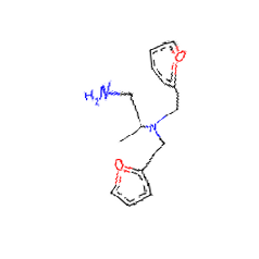 CC(CN)N(Cc1ccco1)Cc1ccco1